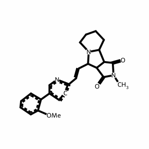 COc1ccccc1-c1ccc(C=CC2C3C(=O)N(C)C(=O)C3C3CCCCN23)nc1